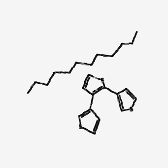 CCCCCCCCCCCC.c1cc(-c2ccsc2-c2ccsc2)cs1